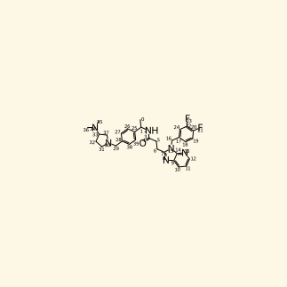 CC(NC(=O)CCc1nc2cccnc2n1Cc1ccc(F)c(F)c1)c1ccc(CN2CCC(N(C)C)C2)cc1